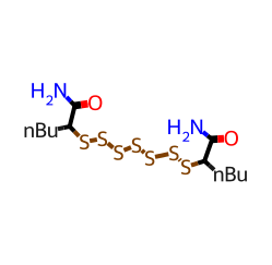 CCCCC(SSSSSSSC(CCCC)C(N)=O)C(N)=O